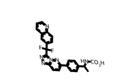 CC(NC(=O)O)c1ccc(-c2ccc3nnc(C(F)(F)c4ccc5ncccc5c4)n3n2)cc1